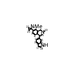 CNC1(c2ccc3c(c2)CN(C)CC3c2ccc3cc[nH]c3c2)CC1